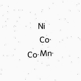 [Co].[Co].[Mn].[Ni]